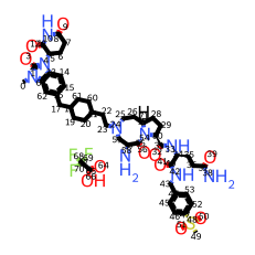 Cn1c(=O)n(C2CCC(=O)NC2=O)c2ccc(CC3CCC(CCN4CC[C@H]5CC[C@@H](C(=O)N[C@@H](CCC(N)=O)C(=O)NCc6ccc(S(C)(=O)=O)cc6)N5C(=O)[C@@H](N)C4)CC3)cc21.O=C(O)C(F)(F)F